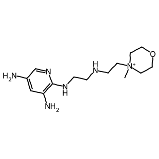 C[N+]1(CCNCCNc2ncc(N)cc2N)CCOCC1